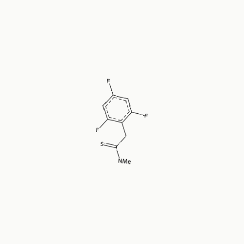 CNC(=S)Cc1c(F)cc(F)cc1F